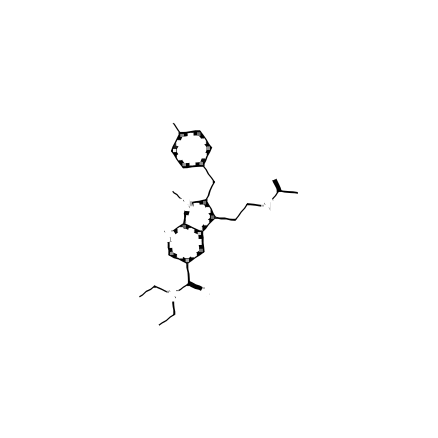 CCN(CC)C(=S)c1cnc2c(c1)c(CCNC(C)=S)c(Cc1ccc(F)cc1)n2C